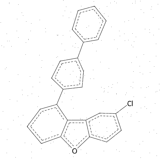 Clc1ccc2oc3cccc(-c4ccc(-c5ccccc5)cc4)c3c2c1